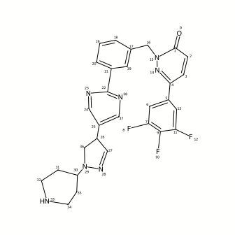 O=c1ccc(-c2cc(F)c(F)c(F)c2)nn1Cc1cccc(-c2ncc(C3C=NN(C4CCNCC4)C3)cn2)c1